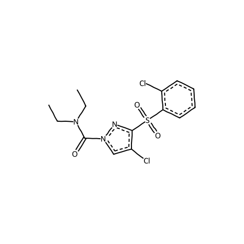 CCN(CC)C(=O)n1cc(Cl)c(S(=O)(=O)c2ccccc2Cl)n1